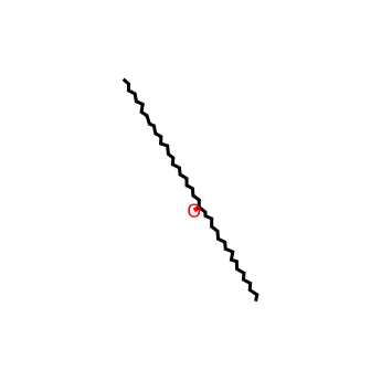 CCCCCCCCCCCCCCCCCCCCCCCCC(=O)CCCCCCCCCCCCCCCCCC